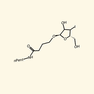 CCCCCNC(=O)CCCO[C@@H]1O[C@@H](CO)C(I)C1O